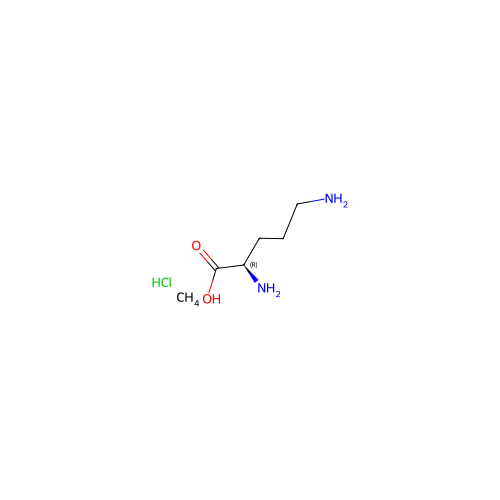 C.Cl.NCCC[C@@H](N)C(=O)O